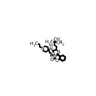 CCCN1CCC(C#N)(NC(=O)C(CCC(C)(C)C)N=c2[nH]c(=O)oc3ccccc23)CC1